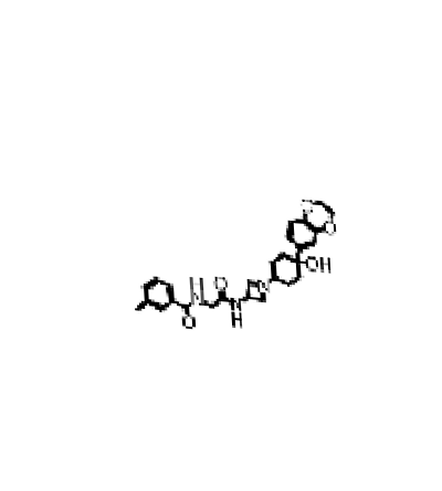 Cc1cccc(C(=O)NCC(=O)NC2CN(C3CCC(O)(c4ccc5c(c4)OCCO5)CC3)C2)c1